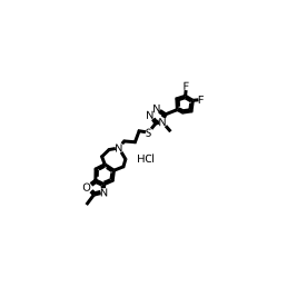 Cc1nc2cc3c(cc2o1)CCN(CCCSc1nnc(-c2ccc(F)c(F)c2)n1C)CC3.Cl